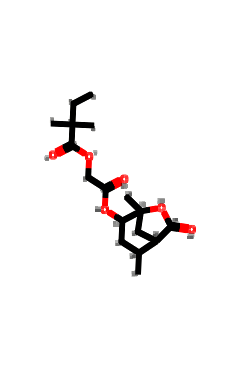 CCC(C)(C)C(=O)OCC(=O)OC1CC(C)C2CC1(C)OC2=O